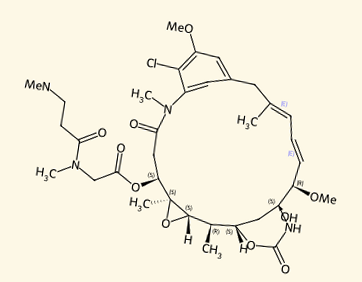 CNCCC(=O)N(C)CC(=O)O[C@H]1CC(=O)N(C)c2cc(cc(OC)c2Cl)C/C(C)=C/C=C/[C@@H](OC)[C@@]2(O)C[C@H](OC(=O)N2)[C@@H](C)[C@@H]2O[C@@]12C